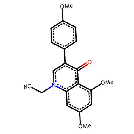 COc1ccc(-c2cn(CC#N)c3cc(OC)cc(OC)c3c2=O)cc1